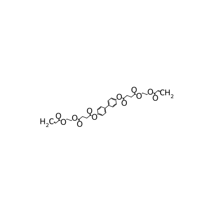 C=CC(=O)OCCOC(=O)CCC(=O)Oc1ccc(-c2ccc(OC(=O)CCC(=O)OCCOC(=O)C=C)cc2)cc1